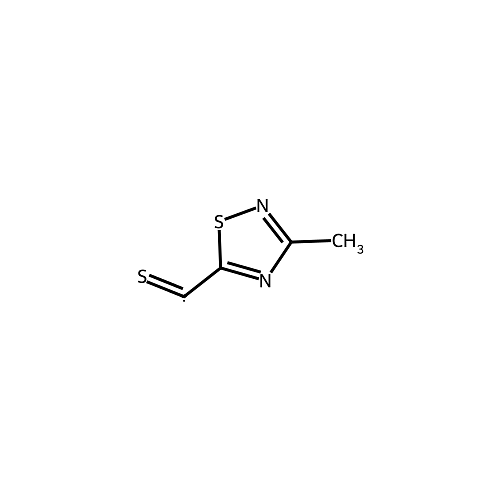 Cc1nsc([C]=S)n1